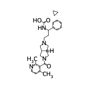 C1CC1.Cc1ccnc(C)c1C(=O)N1CC2CN(CCC(NC(=O)O)c3ccccc3)C[C@H]2C1